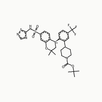 CC(C)(C)OC(=O)N1CCC(c2cc(C(F)(F)F)ccc2[C@H]2CC(C)(C)Oc3cc(S(=O)(=O)Nc4ncns4)ccc32)CC1